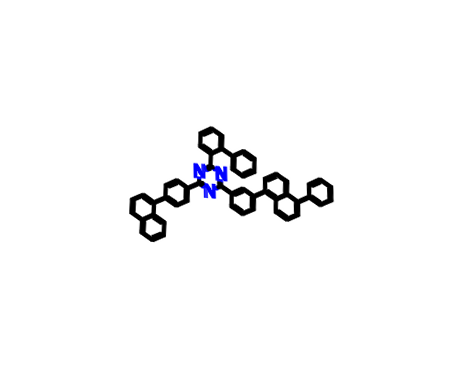 c1ccc(-c2ccccc2-c2nc(-c3ccc(-c4cccc5ccccc45)cc3)nc(-c3cccc(-c4cccc5c(-c6ccccc6)cccc45)c3)n2)cc1